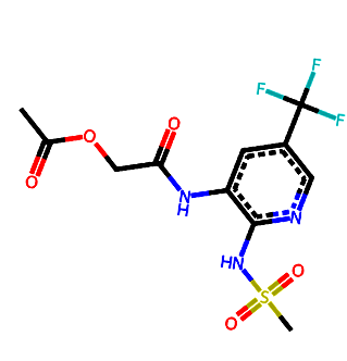 CC(=O)OCC(=O)Nc1cc(C(F)(F)F)cnc1NS(C)(=O)=O